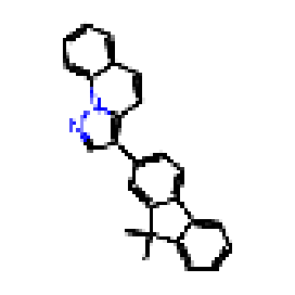 CC1(C)c2ccccc2-c2ccc(-c3cnn4c3ccc3ccccc34)cc21